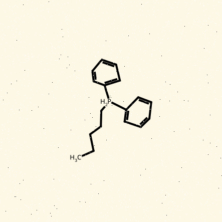 CCCCC[PH2](c1ccccc1)c1ccccc1